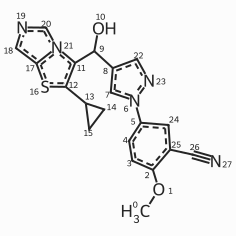 COc1ccc(-n2cc(C(O)c3c(C4CC4)sc4cncn34)cn2)cc1C#N